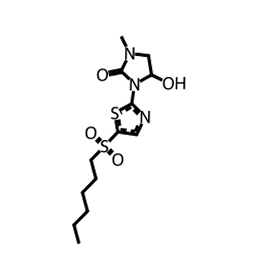 CCCCCCS(=O)(=O)c1cnc(N2C(=O)N(C)CC2O)s1